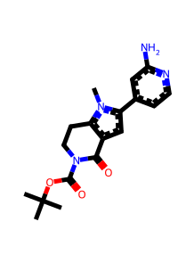 Cn1c(-c2ccnc(N)c2)cc2c1CCN(C(=O)OC(C)(C)C)C2=O